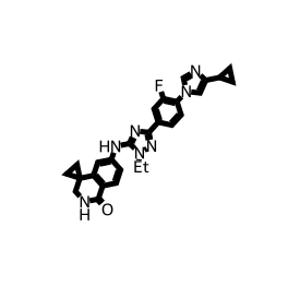 CCn1nc(-c2ccc(-n3cnc(C4CC4)c3)c(F)c2)nc1Nc1ccc2c(c1)C1(CC1)CNC2=O